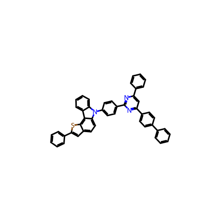 c1ccc(-c2ccc(-c3cc(-c4ccccc4)nc(-c4ccc(-n5c6ccccc6c6c7sc(-c8ccccc8)cc7ccc65)cc4)n3)cc2)cc1